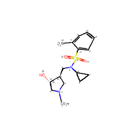 O=C(O)N1C[C@H](CN(C2CC2)S(=O)(=O)c2ccccc2[N+](=O)[O-])[C@@H](O)C1